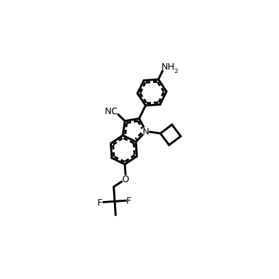 CC(F)(F)COc1ccc2c(C#N)c(-c3ccc(N)cc3)n(C3CCC3)c2c1